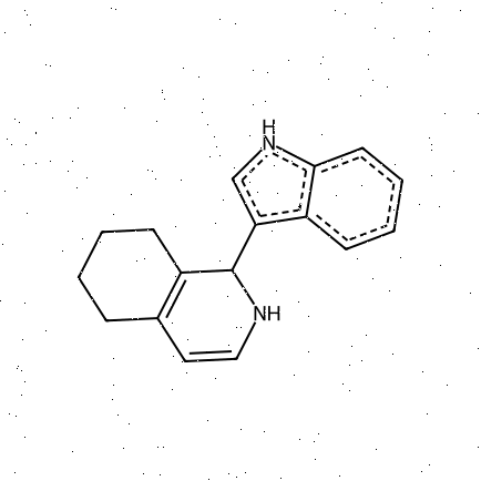 C1=CC2=C(CCCC2)C(c2c[nH]c3ccccc23)N1